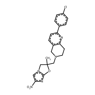 CC1(CN2CCc3nc(-c4ccc(Cl)cc4)ccc3C2)Cn2cc([N+](=O)[O-])nc2O1